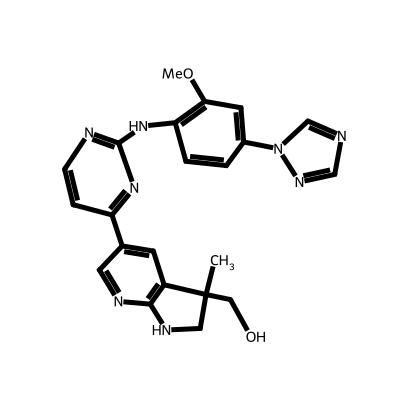 COc1cc(-n2cncn2)ccc1Nc1nccc(-c2cnc3c(c2)C(C)(CO)CN3)n1